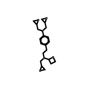 c1cc(N(CC2CO2)CC2CO2)ccc1CCN(CC1CO1)C1CCO1